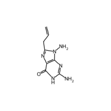 C=CCc1nc2c(=O)[nH]c(N)nc2n1N